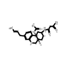 CCCC=CCc1ccc2c(c1)OC[C@H]1CCC(NC(=O)CC(=O)CC)C[C@@]21OC(=O)CC